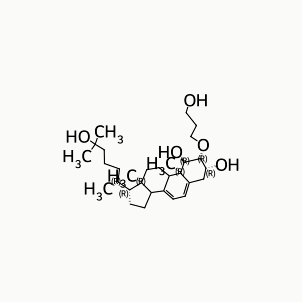 C[C@H](CCCC(C)(C)O)[C@H]1CCC2C3=CC=C4C[C@@H](O)[C@@H](OCCCO)[C@H](O)[C@]4(C)C3CC[C@@]21C